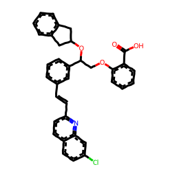 O=C(O)c1ccccc1OCC(OC1Cc2ccccc2C1)c1cccc(/C=C/c2ccc3ccc(Cl)cc3n2)c1